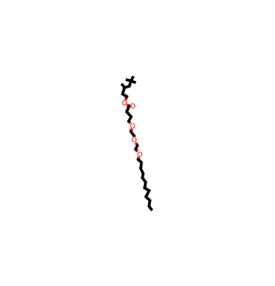 CCCCCCCCCCCCOCCOCCOCCCC(=O)OCCC(C)CC(C)(C)C